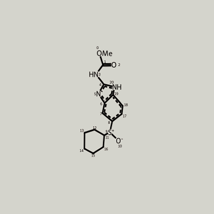 COC(=O)Nc1nc2cc([S+]([O-])C3CCCCC3)ccc2[nH]1